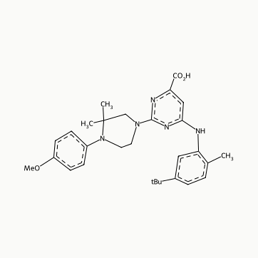 COc1ccc(N2CCN(c3nc(Nc4cc(C(C)(C)C)ccc4C)cc(C(=O)O)n3)CC2(C)C)cc1